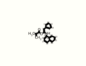 C=C(C)C(=O)O/C(=C/c1ccccc1)Nc1cccc2ccccc12